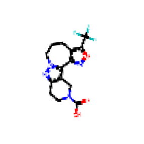 O=C(O)N1CCc2nn3c(c2C1)-c1noc(C(F)(F)F)c1CCC3